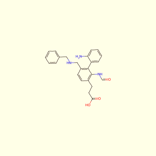 Nc1ccccc1-c1c(CNCc2ccccc2)ccc(CCC(=O)O)c1NC=O